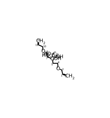 C=CCOCCOCCOCC=C.O=C(O)O.O=C(O)O